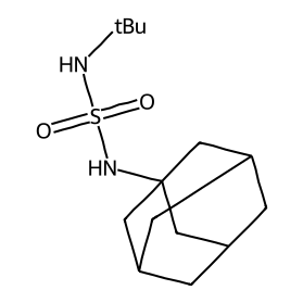 CC(C)(C)NS(=O)(=O)NC12CC3CC(CC(C3)C1)C2